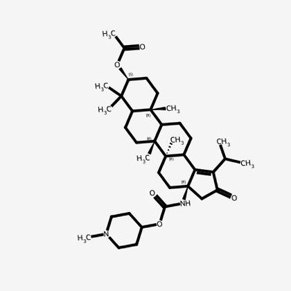 CC(=O)O[C@H]1CC[C@@]2(C)C(CC[C@]3(C)C2CCC2C4=C(C(C)C)C(=O)C[C@]4(NC(=O)OC4CCN(C)CC4)CC[C@]23C)C1(C)C